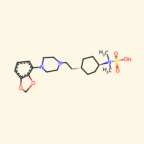 C[N+](C)([C@H]1CC[C@H](CCN2CCN(c3cccc4c3OCO4)CC2)CC1)S(=O)(=O)O